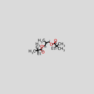 CCC(C)(C)C(=O)OCC(C)COC(=O)C(C)(C)CC